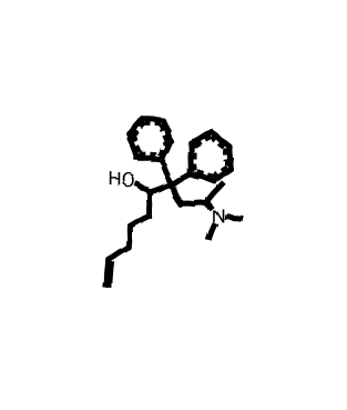 C=CCCCC(O)C(CC(C)N(C)C)(c1ccccc1)c1ccccc1